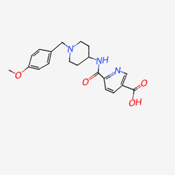 COc1ccc(CN2CCC(NC(=O)c3ccc(C(=O)O)cn3)CC2)cc1